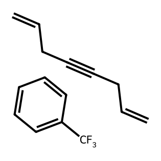 C=CCC#CCC=C.FC(F)(F)c1ccccc1